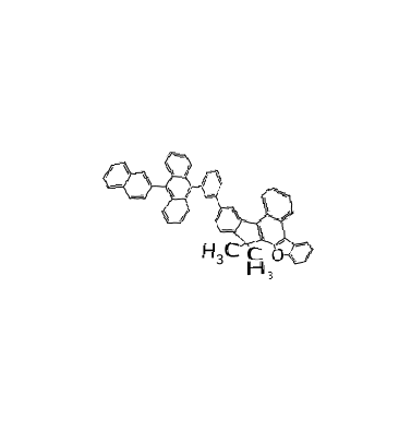 CC1(C)c2ccc(-c3cccc(-c4c5ccccc5c(-c5ccc6ccccc6c5)c5ccccc45)c3)cc2-c2c1c1oc3ccccc3c1c1ccccc21